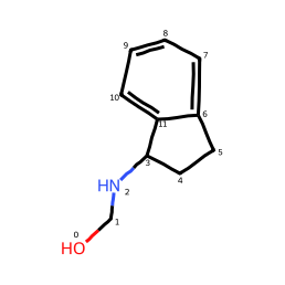 OCNC1CCc2ccccc21